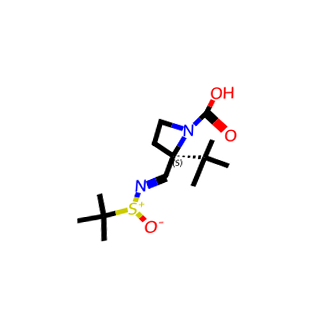 CC(C)(C)[S+]([O-])N=C[C@@]1(C(C)(C)C)CCN1C(=O)O